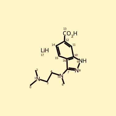 CN(C)CCN(C)c1n[nH]c2cc(C(=O)O)ccc12.[LiH]